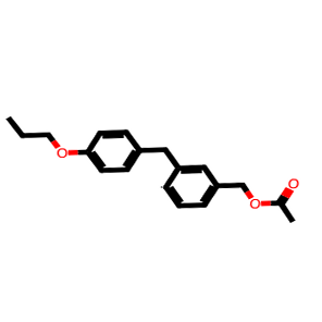 CCCOc1ccc(Cc2[c]ccc(COC(C)=O)c2)cc1